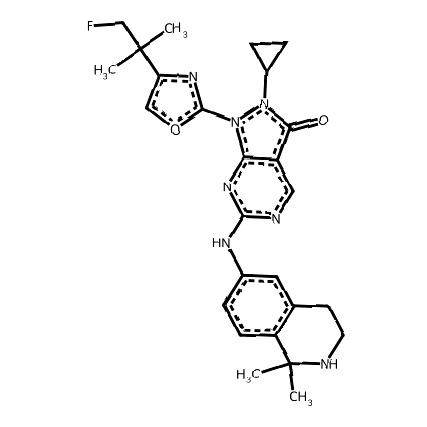 CC(C)(CF)c1coc(-n2c3nc(Nc4ccc5c(c4)CCNC5(C)C)ncc3c(=O)n2C2CC2)n1